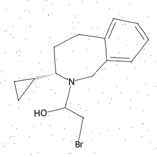 OC(CBr)N1Cc2ccccc2CC[C@H]1C1CC1